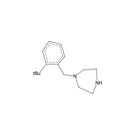 CC(C)(C)c1ccccc1CN1CCNCC1